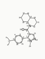 CC(C)c1ccc(-c2c(C(=O)N3CCCC4CCCCC43)cnn2C)cc1